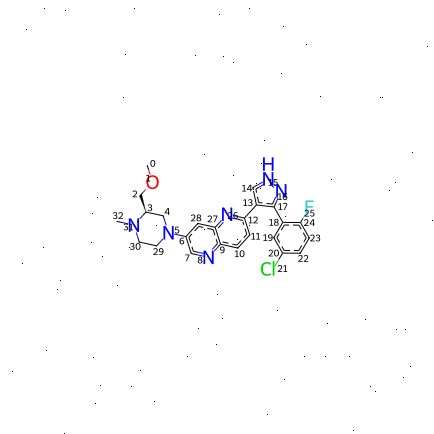 COC[C@H]1CN(c2cnc3ccc(-c4c[nH]nc4-c4cc(Cl)ccc4F)nc3c2)CCN1C